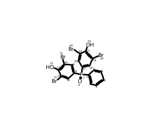 O=P(c1ccccc1)(c1cc(Br)c(O)c(Br)c1)c1cc(Br)c(O)c(Br)c1